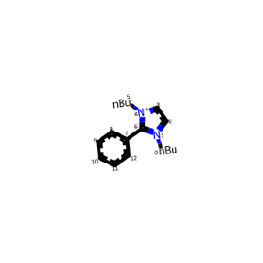 CCCCn1cc[n+](CCCC)c1-c1ccccc1